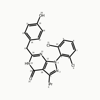 CC(C)c1nn(-c2c(Cl)cccc2Cl)c2nc(Cc3ccc(O)cc3)[nH]c(=O)c12